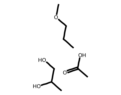 CC(=O)O.CC(O)CO.CCCOC